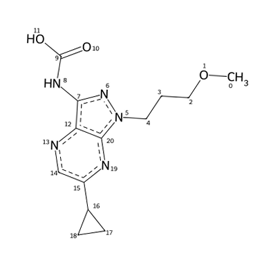 COCCCn1nc(NC(=O)O)c2ncc(C3CC3)nc21